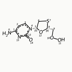 Nc1ccn([C@@H]2CS[C@H](COO)O2)c(=O)n1